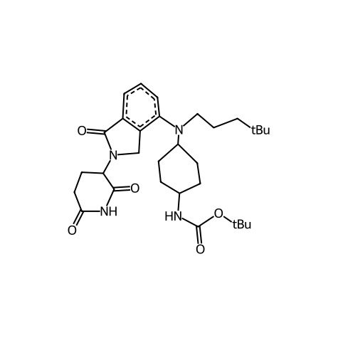 CC(C)(C)CCCN(c1cccc2c1CN(C1CCC(=O)NC1=O)C2=O)C1CCC(NC(=O)OC(C)(C)C)CC1